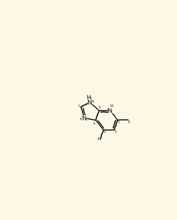 Cc1cc(C)c2n[c][nH]c2n1